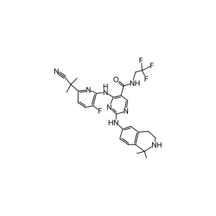 CC(C)(C#N)c1ccc(F)c(Nc2nc(Nc3ccc4c(c3)CCNC4(C)C)ncc2C(=O)NCC(F)(F)F)n1